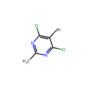 Cc1nc(Cl)c(C(C)C)c(Cl)n1